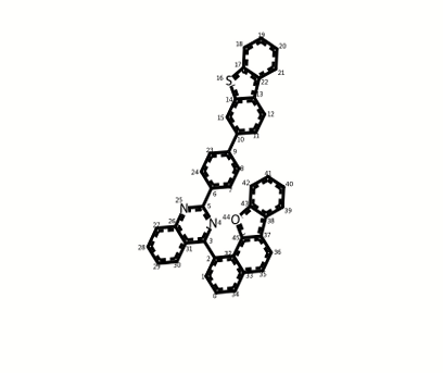 c1cc(-c2nc(-c3ccc(-c4ccc5c(c4)sc4ccccc45)cc3)nc3ccccc23)c2c(c1)ccc1c3ccccc3oc12